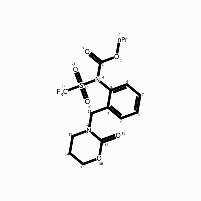 CCCOC(=O)N(c1ccccc1CN1CCCOC1=O)S(=O)(=O)C(F)(F)F